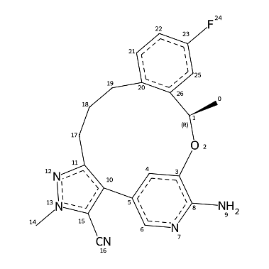 C[C@H]1Oc2cc(cnc2N)-c2c(nn(C)c2C#N)CCCc2ccc(F)cc21